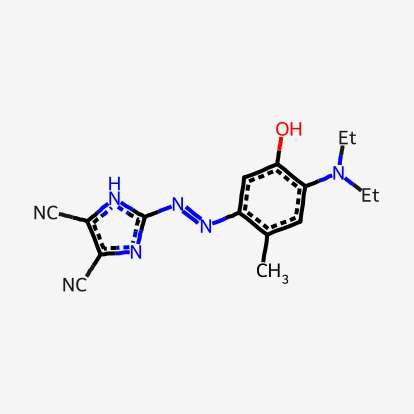 CCN(CC)c1cc(C)c(N=Nc2nc(C#N)c(C#N)[nH]2)cc1O